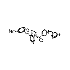 N#Cc1ccc2c(c1)CC(c1cncc3c1OCCN3C(=O)[C@@H]1CCN(Cc3cccc(F)c3)C1)O2